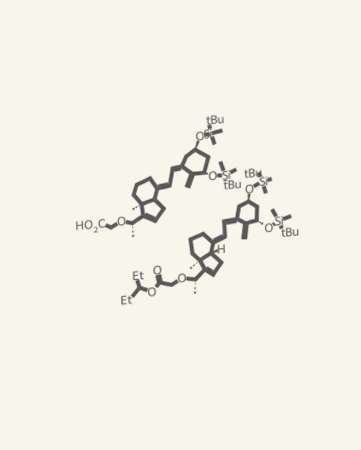 C=C1C(=CC=C2CCC[C@]3(C)C([C@H](C)OCC(=O)O)=CCC23)C[C@@H](O[Si](C)(C)C(C)(C)C)C[C@@H]1O[Si](C)(C)C(C)(C)C.C=C1C(=CC=C2CCC[C@]3(C)C([C@H](C)OCC(=O)OC(CC)CC)=CC[C@@H]23)C[C@@H](O[Si](C)(C)C(C)(C)C)C[C@@H]1O[Si](C)(C)C(C)(C)C